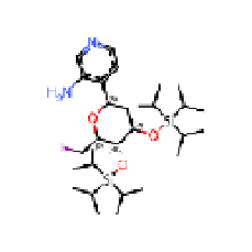 CC(C)[Si](O[C@@H]1[C@@H](CI)O[C@@H](c2ccncc2N)C[C@H]1O[Si](C(C)C)(C(C)C)C(C)C)(C(C)C)C(C)C